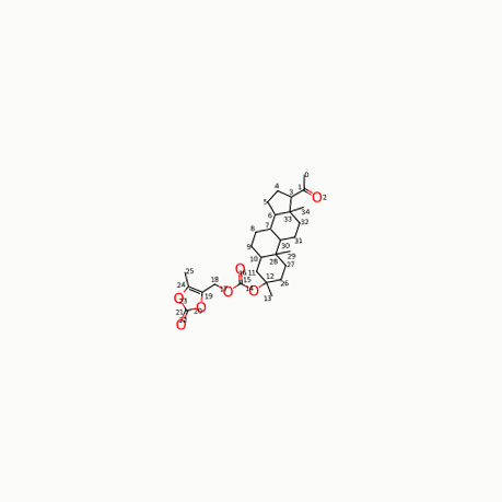 CC(=O)C1CCC2C3CCC4CC(C)(OC(=O)OCc5oc(=O)oc5C)CCC4(C)C3CCC12C